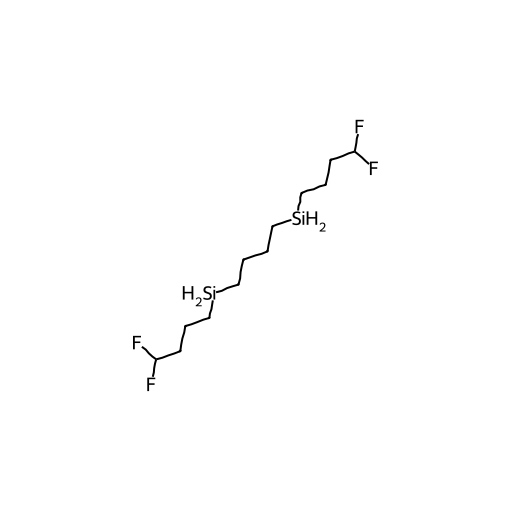 FC(F)CCC[SiH2]CCCC[SiH2]CCCC(F)F